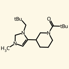 CN1C=C(C2CCCN(C(=O)C(C)(C)C)C2)N(CC(C)(C)C)C1